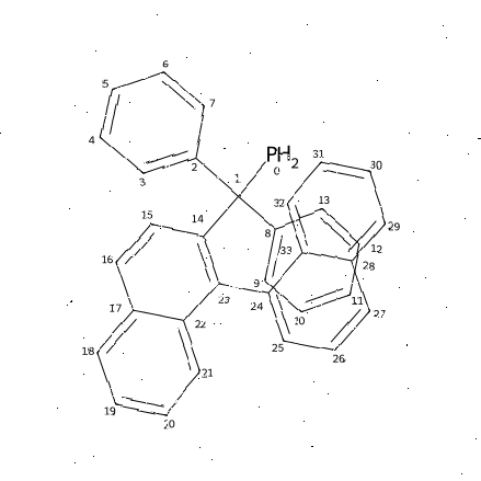 PC(c1ccccc1)(c1ccccc1)c1ccc2ccccc2c1-c1cccc2ccccc12